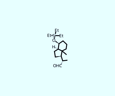 CC[Si](CC)(CC)O[C@H]1CCCC2(C)[C@@H]([C@H](C)C=O)CC[C@@H]12